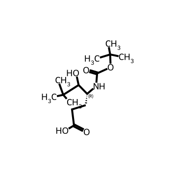 CC(C)(C)OC(=O)N[C@H](CCC(=O)O)C(O)C(C)(C)C